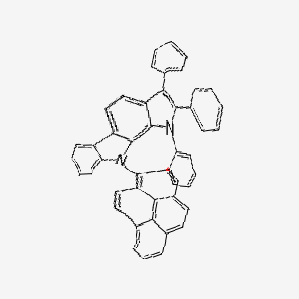 c1ccc(-c2c(-c3ccccc3)n(-c3ccccc3)c3c2ccc2c4ccccc4n(-c4ccc5ccc6cccc7ccc4c5c67)c23)cc1